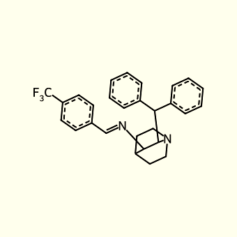 FC(F)(F)c1ccc(C=NC2C3CCN(CC3)C2C(c2ccccc2)c2ccccc2)cc1